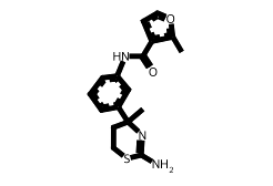 Cc1occc1C(=O)Nc1cccc(C2(C)CCSC(N)=N2)c1